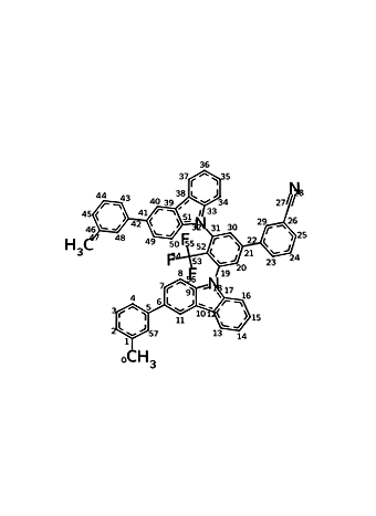 Cc1cccc(-c2ccc3c(c2)c2ccccc2n3-c2cc(-c3cccc(C#N)c3)cc(-n3c4ccccc4c4cc(-c5cccc(C)c5)ccc43)c2C(F)(F)F)c1